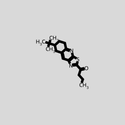 CCCC(=O)c1nc2cc3c(nc2s1)CCC(C(C)(C)C)C3